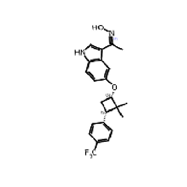 C/C(=N/O)c1c[nH]c2ccc(O[C@H]3C[C@@H](c4ccc(C(F)(F)F)cc4)C3(C)C)cc12